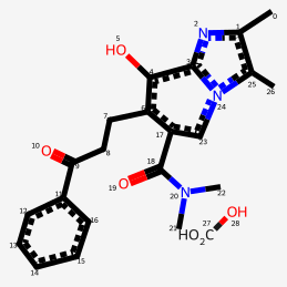 Cc1nc2c(O)c(CCC(=O)c3ccccc3)c(C(=O)N(C)C)cn2c1C.O=C(O)O